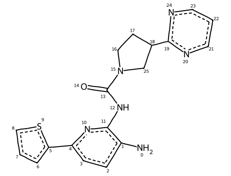 Nc1ccc(-c2cccs2)nc1NC(=O)N1CCC(c2ncccn2)C1